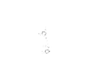 CN(C)c1cc(C(F)(F)F)cc(OCCCCNC(=O)c2cc([N+](=O)[O-])ccc2Cl)n1